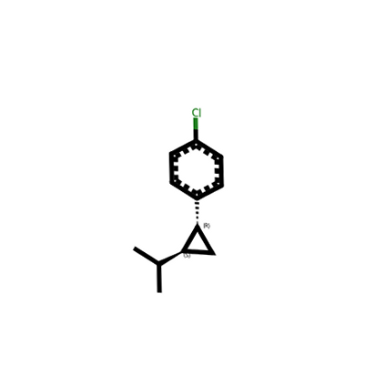 CC(C)[C@@H]1C[C@H]1c1ccc(Cl)cc1